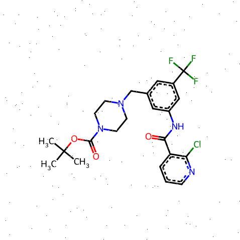 CC(C)(C)OC(=O)N1CCN(Cc2cc(NC(=O)c3cccnc3Cl)cc(C(F)(F)F)c2)CC1